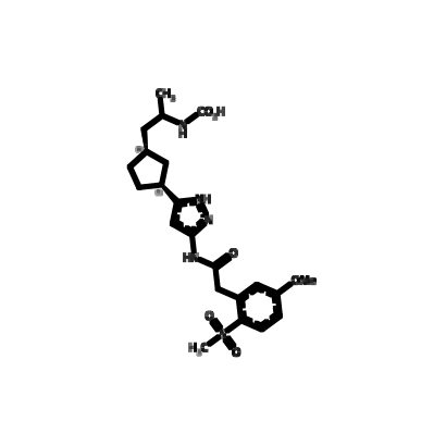 COc1ccc(S(C)(=O)=O)c(CC(=O)Nc2cc([C@H]3CC[C@@H](CC(C)NC(=O)O)C3)[nH]n2)c1